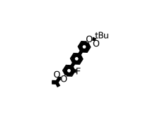 C=C(C)C(=O)Oc1ccc(-c2ccc(-c3ccc(OC(=O)C(C)(C)C)cc3)cc2)c(F)c1